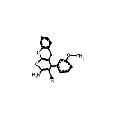 COc1cccc(C2C(C#N)=C(N)OC3=C2Cc2ccccc2O3)c1